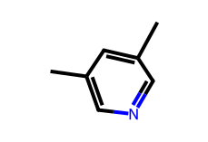 Cc1cncc(C)c1